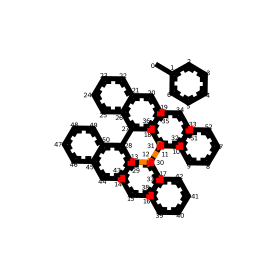 Cc1ccccc1.c1ccc(P(c2ccccc2)c2ccc3ccccc3c2-c2c(P(c3ccccc3)c3ccccc3)ccc3ccccc23)cc1